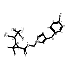 CC1(C)C(C(=O)OCn2ccc(Cc3ccc(F)cc3)c2)C1C(Br)C(Cl)(Cl)Br